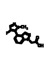 Cn1ncc(F)c1-c1cccc2c1cnn2CC(=O)O